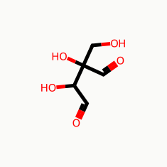 O=CC(O)C(O)(C=O)CO